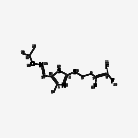 Cc1nc(SCCC(F)=C(F)F)sc1/C=N/OC(C)C